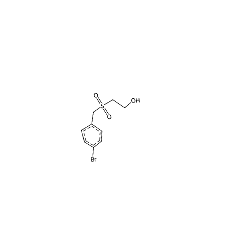 O=S(=O)(CCO)Cc1ccc(Br)cc1